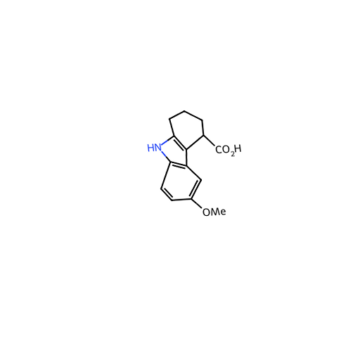 COc1ccc2[nH]c3c(c2c1)C(C(=O)O)CCC3